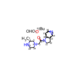 CC(C)(C)OC=O.C[C@@H]1CN(CC(=O)N2CCc3cnccc32)CCN1